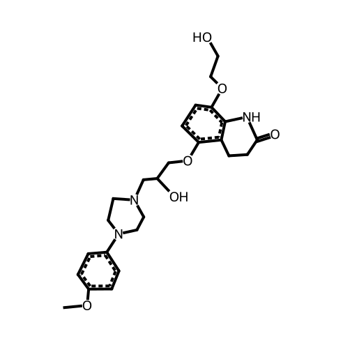 COc1ccc(N2CCN(CC(O)COc3ccc(OCCO)c4c3CCC(=O)N4)CC2)cc1